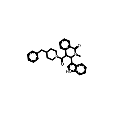 CN1C(=O)c2ccccc2C(C(=O)N2CCC(Cc3ccccc3)CC2)C1c1c[nH]c2ccccc12